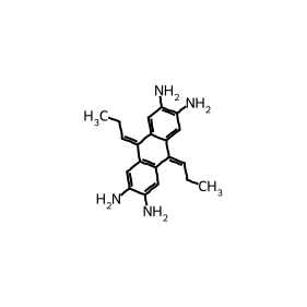 CCC=c1c2cc(N)c(N)cc2c(=CCC)c2cc(N)c(N)cc12